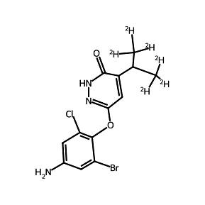 [2H]C([2H])([2H])C(c1cc(Oc2c(Cl)cc(N)cc2Br)n[nH]c1=O)C([2H])([2H])[2H]